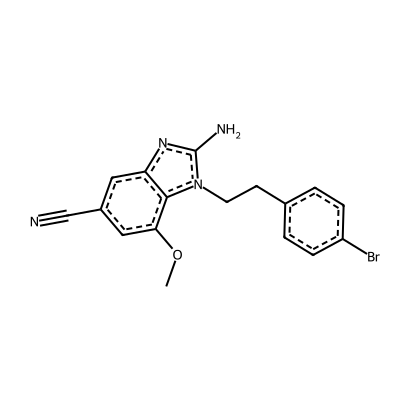 COc1cc(C#N)cc2nc(N)n(CCc3ccc(Br)cc3)c12